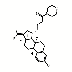 C[C@]12CC[C@@H]3c4ccc(O)cc4CC[C@H]3[C@@H]1[C@@H](CCCC(=O)N1CCOCC1)CC2=C(F)F